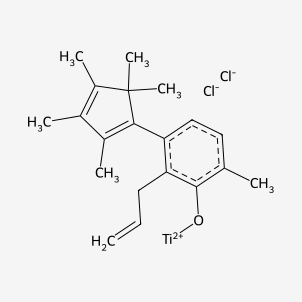 C=CCc1c(C2=C(C)C(C)=C(C)C2(C)C)ccc(C)c1[O][Ti+2].[Cl-].[Cl-]